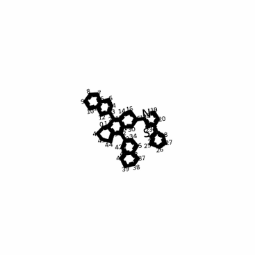 C1=c2c(-c3ccc4ccccc4c3)c3ccc(-c4nccc5c4sc4ccccc45)cc3c(-c3ccc4ccccc4c3)c2=CCC1